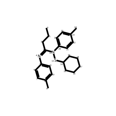 CCCC(=Nc1ccc(C)cc1)N(SC1CCCCC1)c1ccc(C)cc1